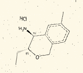 CC[C@H]1OCc2ccc(C)cc2[C@@H]1N.Cl